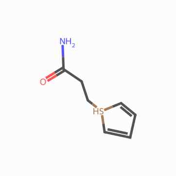 NC(=O)CC[SH]1C=CC=C1